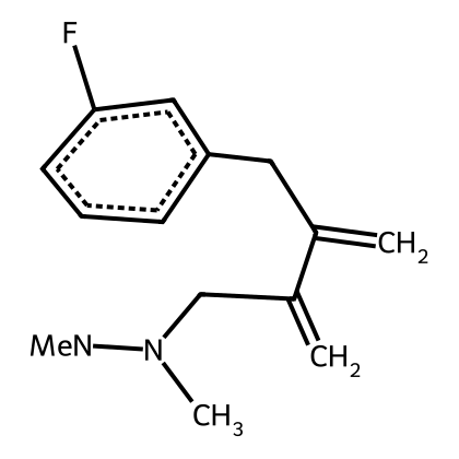 C=C(Cc1cccc(F)c1)C(=C)CN(C)NC